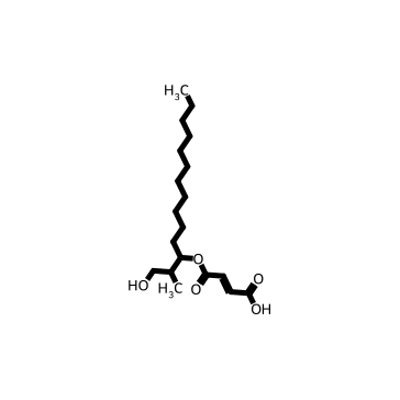 CCCCCCCCCCCC(OC(=O)C=CC(=O)O)C(C)CO